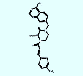 CCC[C@H]1C(=O)N(Cc2ccc3c(N)ncnc3c2)CCN1C(=O)C=Cc1ccc(N)cc1